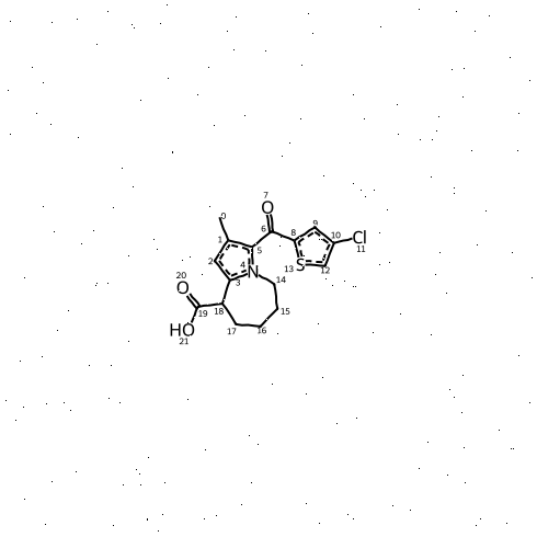 Cc1cc2n(c1C(=O)c1cc(Cl)cs1)CCCCC2C(=O)O